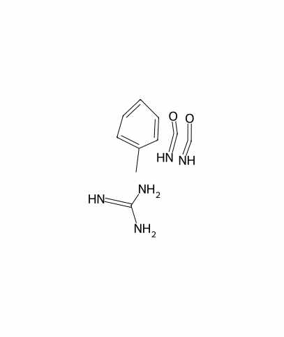 Cc1ccccc1.N=C(N)N.N=C=O.N=C=O